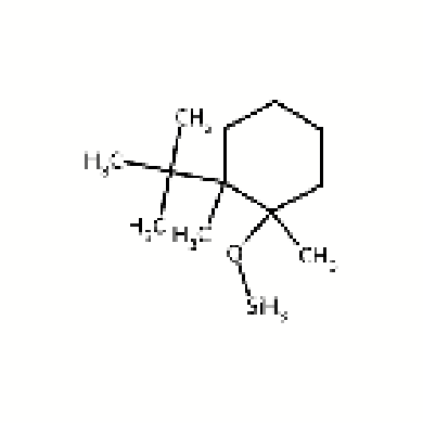 CC(C)(C)C1(C)CCCCC1(C)O[SiH3]